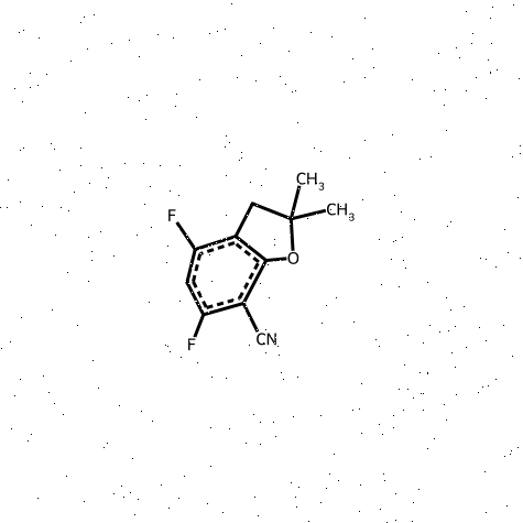 CC1(C)Cc2c(F)cc(F)c(C#N)c2O1